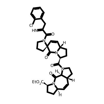 CCOC(=O)[C@@H]1CC[C@@H]2C=C[C@H]3CCN(C(=O)[C@@H]4CC[C@H]5C=C[C@]6(CCCN6C(=O)C(=N)Cc6ccccc6Cl)C(=O)N54)[C@@H]3C(=O)N21